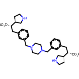 O=C(O)[C@@H](Cc1cccc(CN2CCN(Cc3cccc(C[C@H](C(=O)O)[C@H]4CCNC4)c3)CC2)c1)[C@@H]1CCNC1